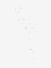 Nc1ncnc2c1c(-c1ccc(Oc3ccccc3)cc1)nn2C1CCN(C2CCN(C3CCNCC3)CC2)CC1